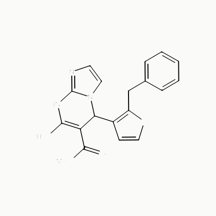 COC(=O)C1=C(C)Nc2nccn2C1c1ccsc1Cc1ccccc1